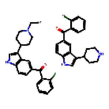 CC(C)CN1CCC(c2c[nH]c3ccc(C(=O)c4ccccc4F)cc23)CC1.O=C(c1ccc2[nH]cc(C3CCNCC3)c2c1)c1ccccc1Cl